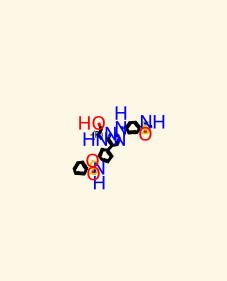 C[C@H](CO)Nc1nc(Nc2ccc(S(C)(=N)=O)cc2)ncc1-c1ccc(NS(=O)(=O)c2ccccc2)cc1